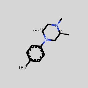 C[C@@H]1CN(C)[C@@H](C)CN1c1ccc(C(C)(C)C)cc1